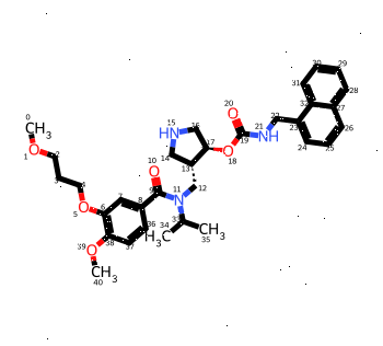 COCCCOc1cc(C(=O)N(C[C@@H]2CNC[C@H]2OC(=O)NCc2cccc3ccccc23)C(C)C)ccc1OC